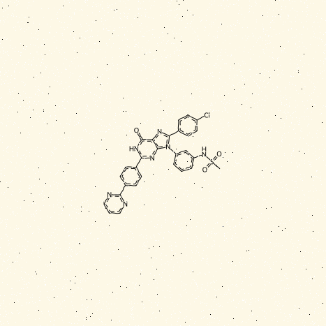 CS(=O)(=O)Nc1cccc(-n2c(-c3ccc(Cl)cc3)nc3c(=O)[nH]c(-c4ccc(-c5ncccn5)cc4)nc32)c1